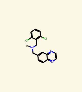 CCN(Cc1ccc2nccnc2c1)Cc1c(Cl)cccc1Cl